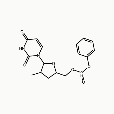 CC1CC(CO[PH](=O)Oc2ccccc2)OC1n1ccc(=O)[nH]c1=O